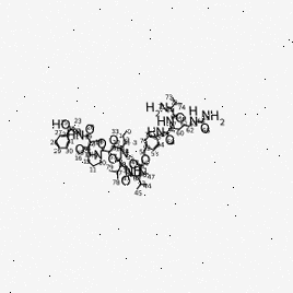 CC[C@H](C)[C@@H]([C@@H](CC(=O)N1CCC[C@H]1[C@H](OC)[C@H](C)C(=O)N[C@@H](C)[C@H](O)c1ccccc1)OC)N(C)C(=O)[C@@H](NC(=O)[C@H](C(C)C)N(C)C(=O)OCc1ccc(NC(=O)[C@H](CCCNC(N)=O)NC(=O)[C@@H](N)C(C)C)cc1)C(C)C